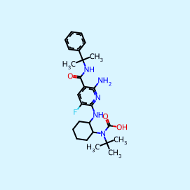 CC(C)(NC(=O)c1cc(F)c(NC2CCCCC2N(C(=O)O)C(C)(C)C)nc1N)c1ccccc1